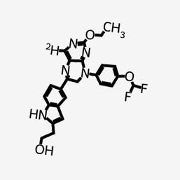 [2H]c1nc(OCC)nc2c1N=C(c1ccc3[nH]c(CCO)cc3c1)CN2c1ccc(OC(F)F)cc1